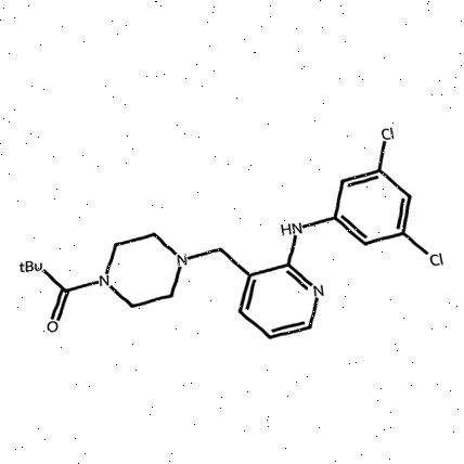 CC(C)(C)C(=O)N1CCN(Cc2cccnc2Nc2cc(Cl)cc(Cl)c2)CC1